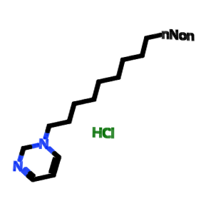 CCCCCCCCCCCCCCCCCCN1C=CC=NC1.Cl